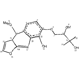 COC1c2ccc(OCC(O)C(C)(C)O)c(O)c2N=C2OC=CC21